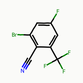 N#Cc1c(Br)cc(F)cc1C(F)(F)F